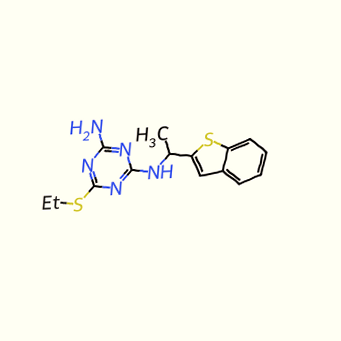 CCSc1nc(N)nc(NC(C)c2cc3ccccc3s2)n1